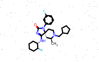 C[C@H]1C[C@]2(CCN1CC1CCCC1)C(N[C@H]1CCCC[C@@H]1F)=NC(=O)N2c1cccc(F)c1